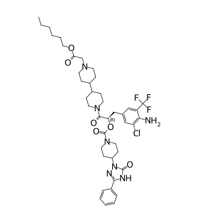 CCCCCCOC(=O)CN1CCC(C2CCN(C(=O)[C@@H](Cc3cc(Cl)c(N)c(C(F)(F)F)c3)OC(=O)N3CCC(n4nc(-c5ccccc5)[nH]c4=O)CC3)CC2)CC1